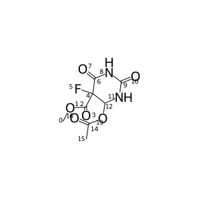 COC(=O)C1(F)C(=O)NC(=O)NC1OC(C)=O